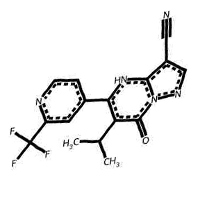 CC(C)c1c(-c2ccnc(C(F)(F)F)c2)[nH]c2c(C#N)cnn2c1=O